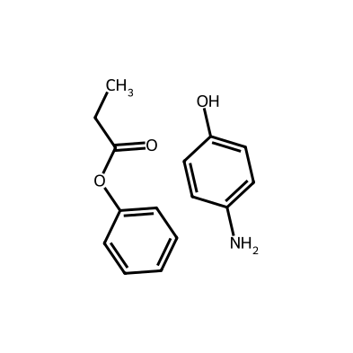 CCC(=O)Oc1ccccc1.Nc1ccc(O)cc1